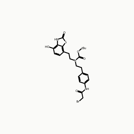 CC(C)(C)OC(=O)N(CCc1ccc(NC(=O)CBr)cc1)CCc1ccc(O)c2[nH]c(=O)sc12